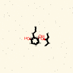 CCC(=O)CC.CCCc1c(O)cccc1O